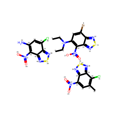 CCN(CC)c1cc(Br)c2nsnc2c1[N+](=O)[O-].Cc1cc([N+](=O)[O-])c2nsnc2c1Cl.Nc1cc(Cl)c2nsnc2c1[N+](=O)[O-]